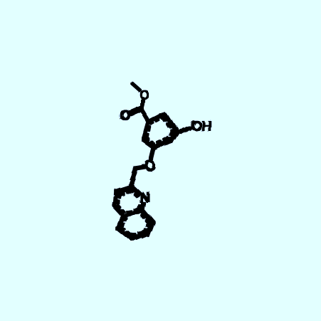 COC(=O)c1cc(O)cc(OCc2ccc3ccccc3n2)c1